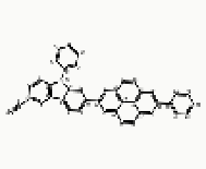 N#Cc1ccc2c(c1)c1ccc(-c3cc4ccc5cc(-c6ccccc6)cc6ccc(c3)c4c56)cc1n2-c1ccccc1